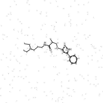 CCN(CC)CCCNC(=O)C(C)COc1cc(-c2ccccc2)[nH]n1